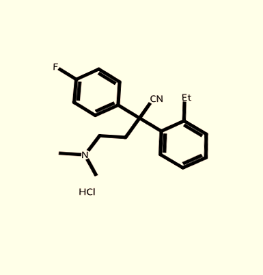 CCc1ccccc1C(C#N)(CCN(C)C)c1ccc(F)cc1.Cl